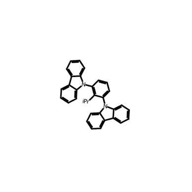 CC(C)c1c(-n2c3ccccc3c3ccccc32)cccc1-n1c2ccccc2c2ccccc21